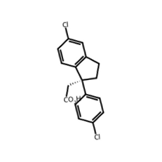 O=C(O)C[C@@]1(c2ccc(Cl)cc2)CCc2cc(Cl)ccc21